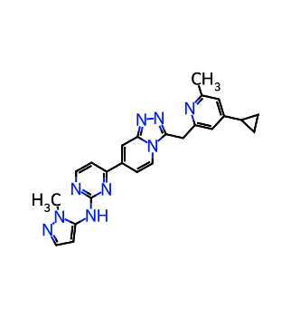 Cc1cc(C2CC2)cc(Cc2nnc3cc(-c4ccnc(Nc5ccnn5C)n4)ccn23)n1